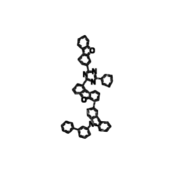 c1ccc(-c2cccc(-n3c4ccccc4c4cc(-c5cccc6c5oc5cccc(-c7nc(-c8ccccc8)nc(-c8ccc9c(c8)oc8ccccc89)n7)c56)ccc43)c2)cc1